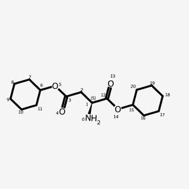 N[C@@H](CC(=O)OC1CCCCC1)C(=O)OC1CCCCC1